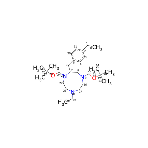 CCc1ccc(CC2CN(COC(C)(C)C)CCN(CC)CCN2COC(C)(C)C)cc1